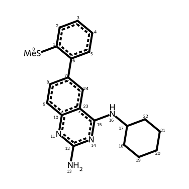 CSc1ccccc1-c1ccc2nc(N)nc(NC3CCCCC3)c2c1